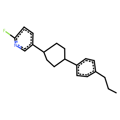 CCCc1ccc(C2CCC(c3ccc(F)nc3)CC2)cc1